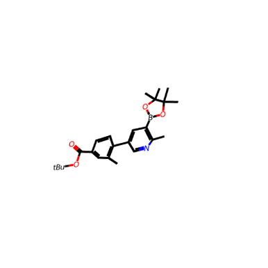 Cc1cc(C(=O)OC(C)(C)C)ccc1-c1cnc(C)c(B2OC(C)(C)C(C)(C)O2)c1